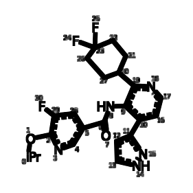 CC(C)Oc1ncc(C(=O)Nc2c(-c3cc[nH]n3)ccnc2C2CCC(F)(F)CC2)cc1F